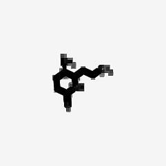 CCCC1NC(=O)CC[C@@H]1N